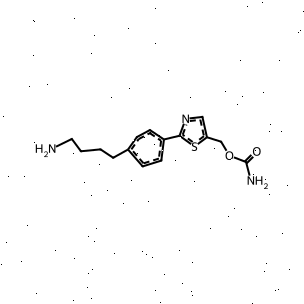 NCCCCc1ccc(-c2ncc(COC(N)=O)s2)cc1